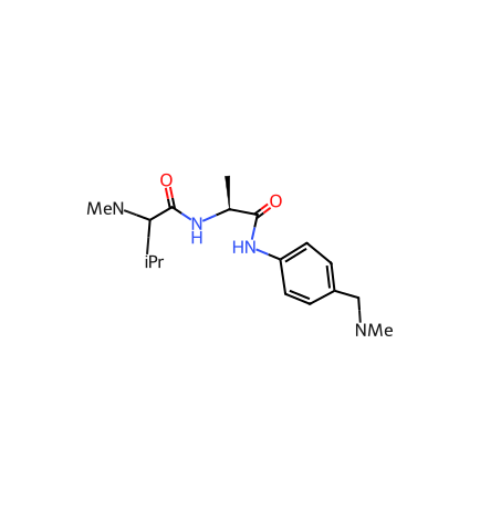 CNCc1ccc(NC(=O)[C@H](C)NC(=O)C(NC)C(C)C)cc1